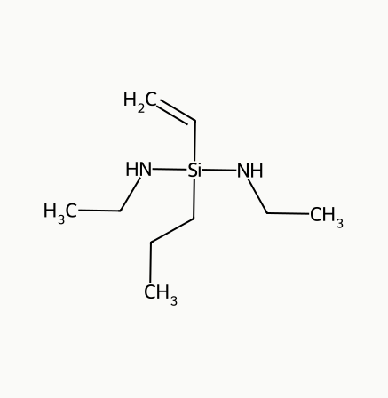 C=C[Si](CCC)(NCC)NCC